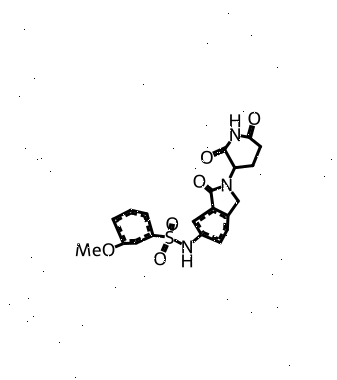 COc1cccc(S(=O)(=O)Nc2ccc3c(c2)C(=O)N(C2CCC(=O)NC2=O)C3)c1